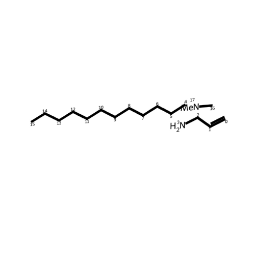 C=CCN.CCCCCCCCCCCC.CNC